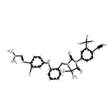 CN(C)C=Nc1ccc(Nc2ccccc2CN2C(=O)N(c3ccc(C#N)c(C(F)(F)F)c3)C(=O)C2(C)C)cc1F